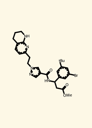 COC(=O)CC(NC(=O)c1cnn(CCc2ccc3c(n2)NCCC3)c1)c1cc(Br)cc(C(C)(C)C)c1